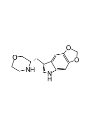 c1[nH]c2cc3c(cc2c1C[C@H]1COCCN1)OCO3